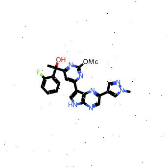 COc1nc(-c2c[nH]c3ncc(-c4cnn(C)c4)nc23)cc(C(C)(O)c2ccccc2F)n1